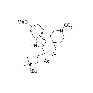 COc1ccc2c3c([nH]c2c1)C(CO[Si](C)(C)C(C)(C)C)(C(C)=O)NCC31CCN(C(=O)O)CC1